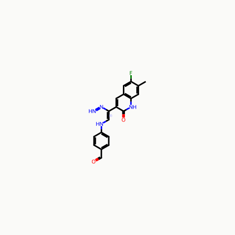 Cc1cc2[nH]c(=O)c(/C(=C/Nc3ccc(C=O)cc3)N=N)cc2cc1F